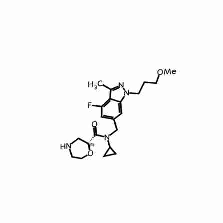 COCCCn1nc(C)c2c(F)cc(CN(C(=O)[C@H]3CNCCO3)C3CC3)cc21